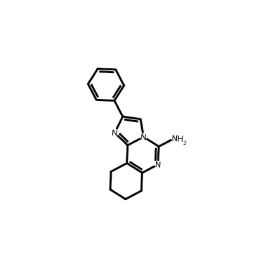 Nc1nc2c(c3nc(-c4ccccc4)cn13)CCCC2